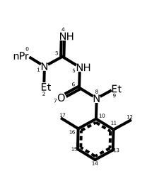 CCCN(CC)C(=N)NC(=O)N(CC)c1c(C)cccc1C